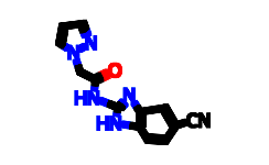 N#Cc1ccc2[nH]c(NC(=O)Cn3cccn3)nc2c1